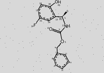 C[C@@H](NC(=O)OCc1ccccc1)c1cc(F)ccc1O